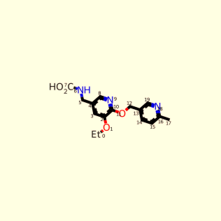 CCOc1cc(CNC(=O)O)cnc1OCc1ccc(C)nc1